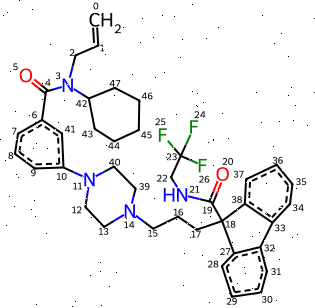 C=CCN(C(=O)c1cccc(N2CCN(CCCC3(C(=O)NCC(F)(F)F)c4ccccc4-c4ccccc43)CC2)c1)C1CCCCC1